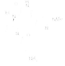 CCN(c1cc(-c2ccnc(NC)c2)c[nH]c1=O)[C@@H]1CCCN(C(=O)C=CCN)C1